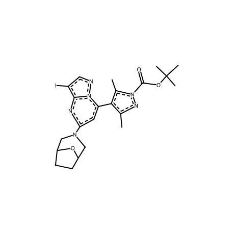 Cc1nn(C(=O)OC(C)(C)C)c(C)c1-c1cc(N2CC3CCC(C2)O3)nc2c(I)cnn12